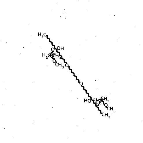 CCCCCCCCC(OCC[N+](C)(C)CCOCC)C(O)CCCCCCCCOCCCCCCCCCCOCCCCCCCCC(O)C(CCCCCCCC)OCC[N+](C)(C)CCOCC